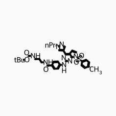 CCCn1cc(-c2nc(Nc3ccc(C(=O)NCCCNC(=O)OC(C)(C)C)cc3)nc3c2ccn3S(=O)(=O)c2ccc(C)cc2)cn1